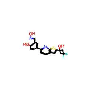 O/N=C/c1cc(-c2ccc3cc(C4(O)CC(F)(F)C4)sc3n2)ccc1O